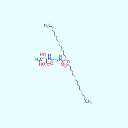 CCCCCCCCCCCCCCCC(=O)OC(CCCCCCCCCCCCCC)C(=O)NCCC(=O)N[C@H](C(=O)O)C(C)O